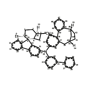 CC[C@@H]1CC[C@H]2C(C)CC2[C@]12c1ccccc1-c1ccc(N(c3cccc(-c4ccccc4)c3)c3ccc4c(c3)C[C@H]3CC[C@H](C3)c3ccccc3-4)cc12